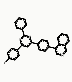 Brc1ccc(-c2cc(-c3ccc(-c4cncc5ccccc45)cc3)nc(-c3ccccc3)n2)cc1